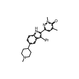 Cc1cc(-c2[nH]c3ccc(C4CCN(C)CC4)cc3c2C(C)C)nn(C)c1=O